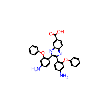 Nc1ccc(-c2nc3ccc(C(=O)O)cc3nc2-c2ccc(N)cc2Oc2ccccc2)c(Oc2ccccc2)c1